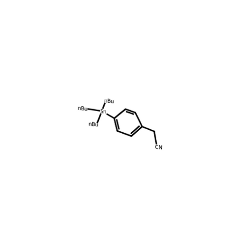 CCC[CH2][Sn]([CH2]CCC)([CH2]CCC)[c]1ccc(CC#N)cc1